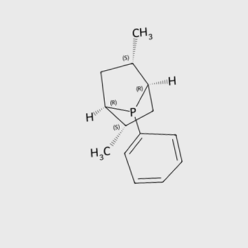 C[C@H]1C[C@@H]2[C@@H](C)C[C@H]1P2c1ccccc1